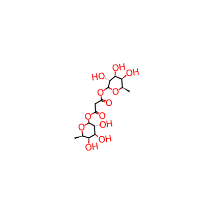 C[C@H]1OC(OC(=O)CC(=O)OC2O[C@H](C)[C@H](O)[C@H](O)[C@H]2O)[C@H](O)[C@@H](O)[C@H]1O